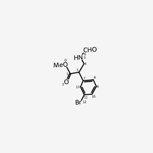 COC(=O)C(CNC=O)c1cccc(Br)c1